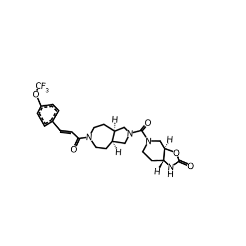 O=C1N[C@@H]2CCN(C(=O)N3C[C@H]4CCN(C(=O)C=Cc5ccc(OC(F)(F)F)cc5)CC[C@H]4C3)C[C@H]2O1